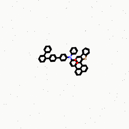 c1ccc(-c2ccccc2-c2ccc(-c3ccc(N(c4ccccc4)c4ccc(-c5cccc6cccc(-c7cccc8c7sc7ccccc78)c56)cc4)cc3)cc2)cc1